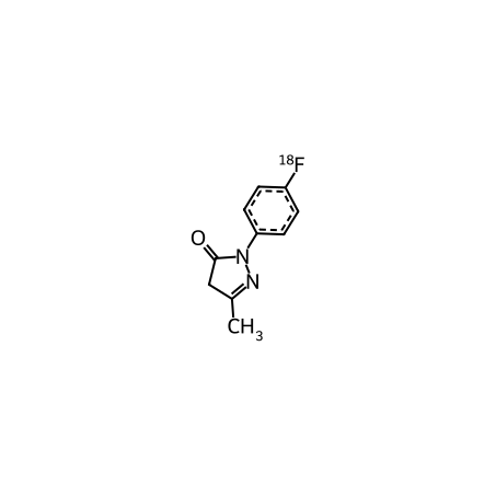 CC1=NN(c2ccc([18F])cc2)C(=O)C1